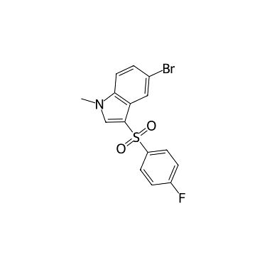 Cn1cc(S(=O)(=O)c2ccc(F)cc2)c2cc(Br)ccc21